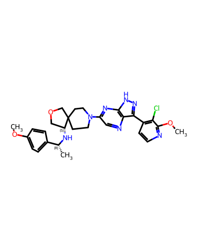 COc1ccc([C@@H](C)N[C@@H]2COCC23CCN(c2cnc4c(-c5ccnc(OC)c5Cl)n[nH]c4n2)CC3)cc1